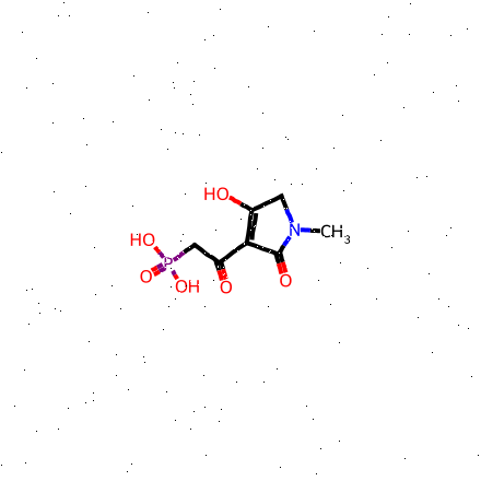 CN1CC(O)=C(C(=O)CP(=O)(O)O)C1=O